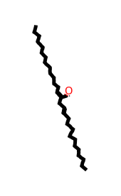 CCCCCCCCCCCC=CCC([C]=O)=CCCCCCCCCCCCCC